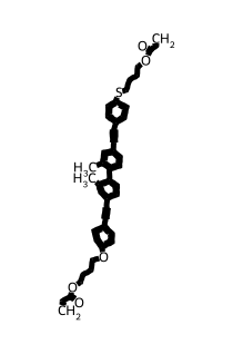 C=CC(=O)OCCCCOc1ccc(C#Cc2ccc(-c3ccc(C#Cc4ccc(SCCCCOC(=O)C=C)cc4)cc3C)c(C)c2)cc1